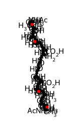 CC(=O)N[C@H](C(=O)N(C)CC(=O)N[C@@H](CO)C(=O)NCC(=O)N[C@H](C(=O)NCC(=O)N[C@H](C(=O)NCC(=O)N[C@@H](CCC(=O)O)CC(=O)N[C@H](CCCCNC(=O)COCC(=O)NCCCC[C@@H](NC(=O)C[C@H](CCC(=O)O)NC(=O)CNC(=O)[C@@H](NC(=O)CNC(=O)[C@@H](NC(=O)CNC(=O)[C@H](CO)NC(=O)CN(C)C(=O)[C@@H](NC(C)=O)C(C)(C)S)C(C)O)C(C)(C)S)C(N)=O)C(N)=O)C(C)(C)S)C(C)O)C(C)(C)S